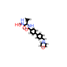 O=C(N[C@H](C(=O)NO)C1CC1)c1ccc(-c2ccc(CN3CCOCC3)cc2)cc1